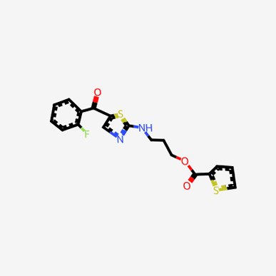 O=C(OCCCNc1ncc(C(=O)c2ccccc2F)s1)c1cccs1